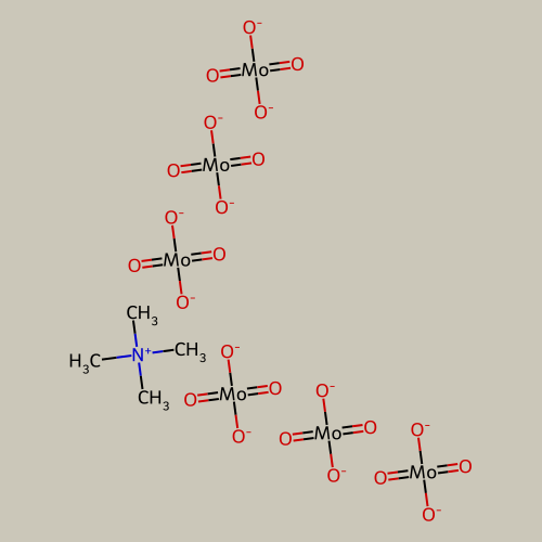 C[N+](C)(C)C.[O]=[Mo](=[O])([O-])[O-].[O]=[Mo](=[O])([O-])[O-].[O]=[Mo](=[O])([O-])[O-].[O]=[Mo](=[O])([O-])[O-].[O]=[Mo](=[O])([O-])[O-].[O]=[Mo](=[O])([O-])[O-]